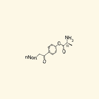 CCCCCCCCCCC(=O)c1ccc(OC(=O)[C@H](C)N)cc1